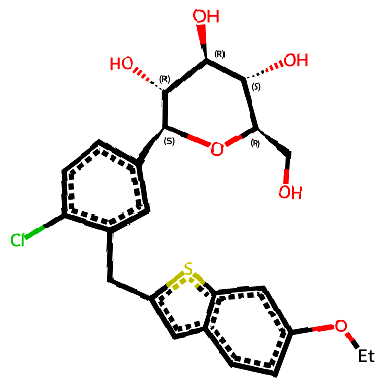 CCOc1ccc2cc(Cc3cc([C@@H]4O[C@H](CO)[C@@H](O)[C@H](O)[C@H]4O)ccc3Cl)sc2c1